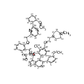 COc1cccc(-c2ncc3snc(O[C@H](Cc4ccccc4OCc4ccnc(-c5ccccc5OC)n4)C(=O)O)c3c2-c2ccc(OCCN3CCN(C)CC3)c(Cl)c2C)c1